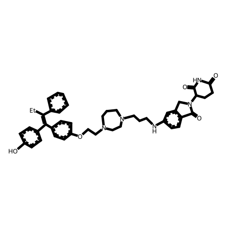 CCC(=C(c1ccc(O)cc1)c1ccc(OCCN2CCCN(CCCNc3ccc4c(c3)CN(C3CCC(=O)NC3=O)C4=O)CC2)cc1)c1ccccc1